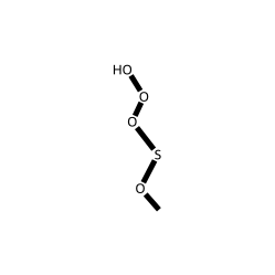 COSOOO